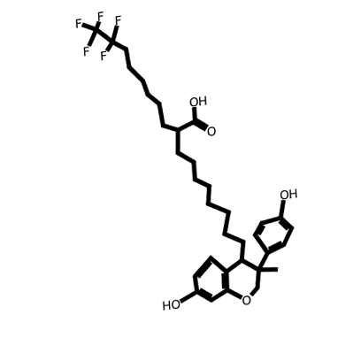 CC1(c2ccc(O)cc2)COc2cc(O)ccc2C1CCCCCCCCC(CCCCCCC(F)(F)C(F)(F)F)C(=O)O